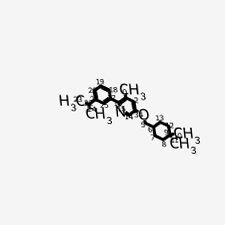 Cc1cc(OCC2CCC(C)(C)CC2)cnc1-c1cccc(C(C)C)c1